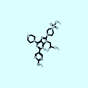 CC(C)Cn1c(N2CCN(S(C)(=O)=O)CC2)nc2c(N3CCOCC3)nc(-c3cnc(N)nc3)nc21